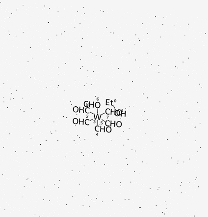 CCO.O=[CH][W]([CH]=O)([CH]=O)([CH]=O)([CH]=O)[CH]=O